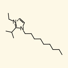 CCCCCCCCCn1cc[n+](CC)c1C(C)C